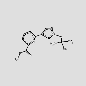 COC(=O)c1cccc(-c2cnn(CC(C)(C)O)c2)n1